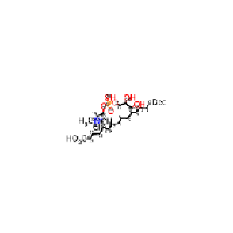 CCCCCCCCCCCCCCCCCCCCCCCC(=O)O.C[N+](C)(C)CCOP(=O)(O)OCC(O)CO